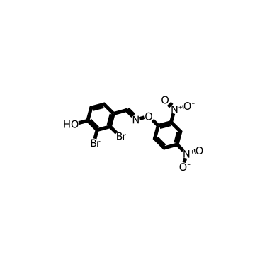 O=[N+]([O-])c1ccc(ON=Cc2ccc(O)c(Br)c2Br)c([N+](=O)[O-])c1